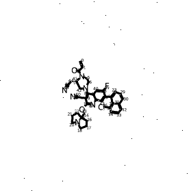 C=CC(=O)N1CCN(C2=C(C#N)C(OCC34CCCN3CCC4)=NC3C=C(c4cccc5cccc(Cl)c45)C(F)=CC23)C[C@@H]1CC#N